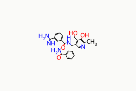 Cc1ncc(CNC(=O)c2cccc(C(=N)N)c2)c(CO)c1O.NC(=O)c1ccccc1